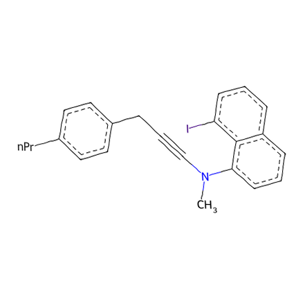 CCCc1ccc(CC#CN(C)c2cccc3cccc(I)c23)cc1